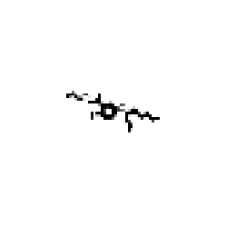 CC/C=C/C(F)=C(\CCC)Oc1ccc(F)c(C(C)COCCC)c1